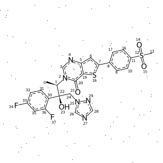 C[C@@H](n1cnc2cc(-c3ccc(S(C)(=O)=O)cc3)sc2c1=O)[C@](O)(Cn1cncn1)c1ccc(F)cc1F